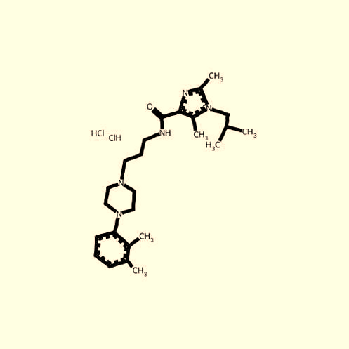 Cc1cccc(N2CCN(CCCNC(=O)c3nc(C)n(CC(C)C)c3C)CC2)c1C.Cl.Cl